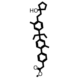 CCC(CC)(c1ccc(CCC2(O)CCCC2)c(C)c1)c1ccc(-c2ccc(CC(=O)OC)cc2)c(C)c1